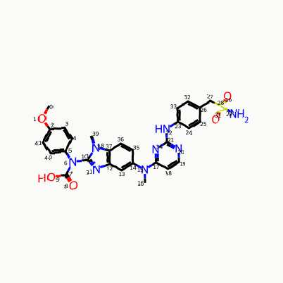 COc1ccc(N(C(=O)O)c2nc3cc(N(C)c4ccnc(Nc5ccc(CS(N)(=O)=O)cc5)n4)ccc3n2C)cc1